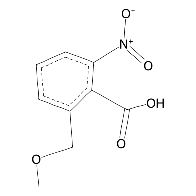 COCc1cccc([N+](=O)[O-])c1C(=O)O